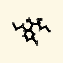 CCOC(=N)C(O)c1cc(Cl)ccc1OCC